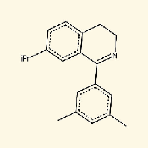 Cc1cc(C)cc(C2=NCCc3ccc(C(C)C)cc32)c1